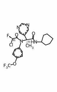 C[C@@](C(=O)NC1CCCCC1)(c1cncnc1)N(C(=O)[C@H](F)Cl)c1ccc(OC(F)(F)F)cc1